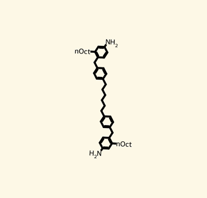 CCCCCCCCc1cc(N)ccc1Cc1ccc(CCCCCCc2ccc(Cc3ccc(N)cc3CCCCCCCC)cc2)cc1